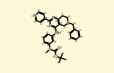 CN(C(=O)OC(C)(C)C)c1cccc(Nc2nc(-c3ccncc3)nc3c2CN(Cc2ccccc2)CC3)c1